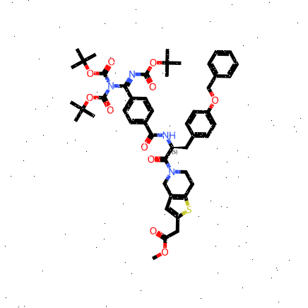 COC(=O)Cc1cc2c(s1)CCN(C(=O)[C@H](Cc1ccc(OCc3ccccc3)cc1)NC(=O)c1ccc(C(=NC(=O)OC(C)(C)C)N(C(=O)OC(C)(C)C)C(=O)OC(C)(C)C)cc1)C2